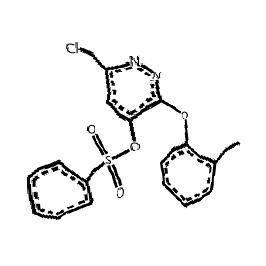 Cc1ccccc1Oc1nnc(Cl)cc1OS(=O)(=O)c1ccccc1